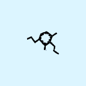 [CH]c1c(CCC)ccc(C)c1CCC